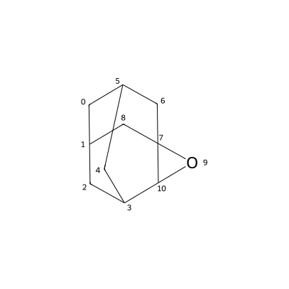 C1C2CC3CC1CC1(C2)OC31